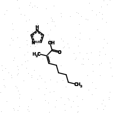 CCCCCC=C(C)C(=O)O.c1c[nH]cn1